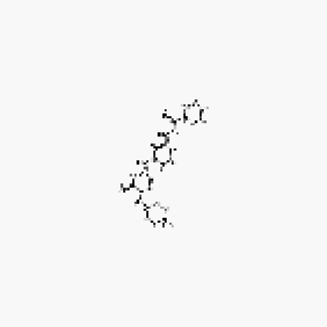 CN1CCC(Oc2ccc(Nc3nccc(NCC(O)c4ccccc4)n3)cc2Cl)CC1